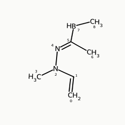 C=CN(C)/N=C(\C)BC